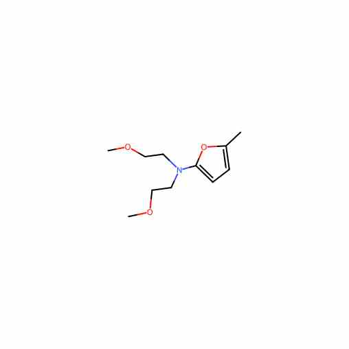 COCCN(CCOC)c1ccc(C)o1